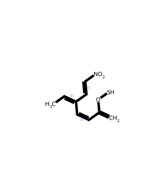 C=C(\C=C/C(/C=C/[N+](=O)[O-])=C\C)OS